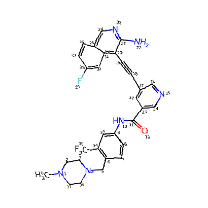 CN1CCN(Cc2ccc(NC(=O)c3cncc(C#Cc4c(N)ncc5ccc(F)cc45)c3)cc2C(F)(F)F)CC1